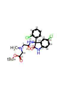 CN(CC(=O)NC1(c2ccccc2Cl)C(=O)Nc2ccc(Cl)cc21)CC(=O)OC(C)(C)C